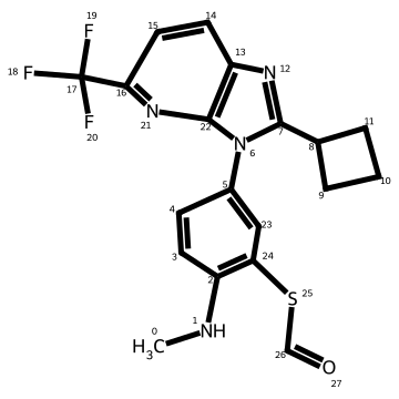 CNc1ccc(-n2c(C3CCC3)nc3ccc(C(F)(F)F)nc32)cc1SC=O